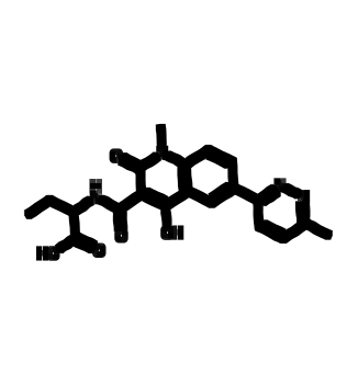 CCC(NC(=O)c1c(O)c2cc(-c3ccc(C)nn3)ccc2n(C)c1=O)C(=O)O